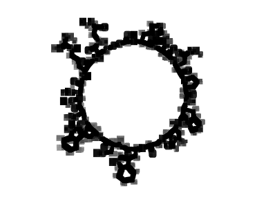 CCCC[C@H]1C(=O)N(C)[C@@H](CCCC)C(=O)N[C@@H](CCCNC(=N)N)C(=O)N[C@@H](C(=O)NCC(N)=O)CSCC(=O)N[C@@H](Cc2cnc[nH]2)C(=O)N(C)[C@@H](C)C(=O)N[C@@H](CC(N)=O)C(=O)N2CCC[C@H]2C(=O)N[C@@H](Cc2cnc[nH]2)C(=O)N[C@@H](CC(C)C)C(=O)N(C)CC(=O)N[C@@H](Cc2c[nH]c3ccccc23)C(=O)N[C@@H](CO)C(=O)N[C@@H](Cc2c[nH]c3ccccc23)C(=O)N1C